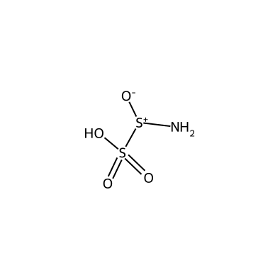 N[S+]([O-])S(=O)(=O)O